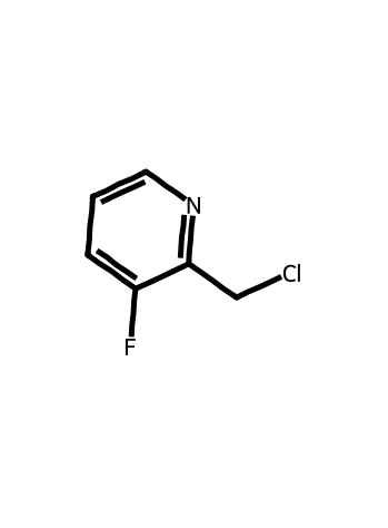 Fc1cccnc1CCl